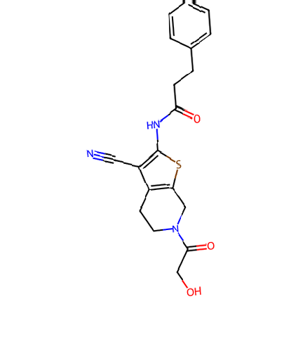 N#Cc1c(NC(=O)CCc2ccccc2)sc2c1CCN(C(=O)CO)C2